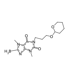 Bc1nc2c(c(=O)n(CCCOC3CCCCO3)c(=O)n2C)n1C